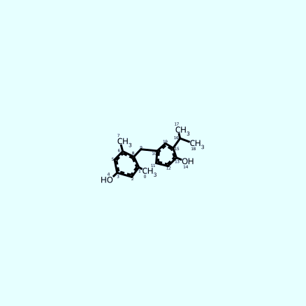 Cc1cc(O)cc(C)c1Cc1ccc(O)c(C(C)C)c1